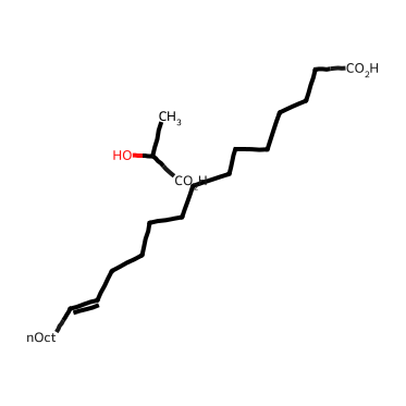 CC(O)C(=O)O.CCCCCCCCC=CCCCCCCCCCCCC(=O)O